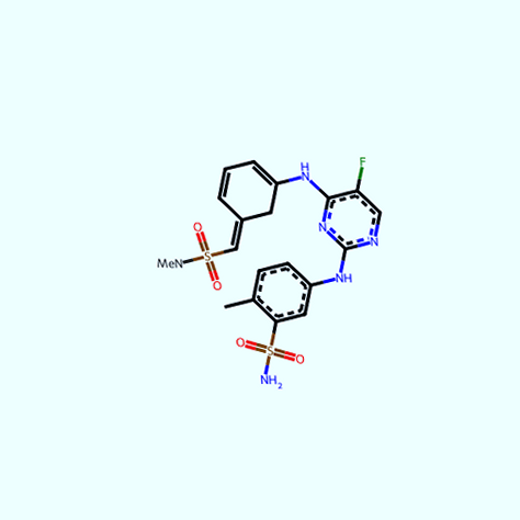 CNS(=O)(=O)C=C1C=CC=C(Nc2nc(Nc3ccc(C)c(S(N)(=O)=O)c3)ncc2F)C1